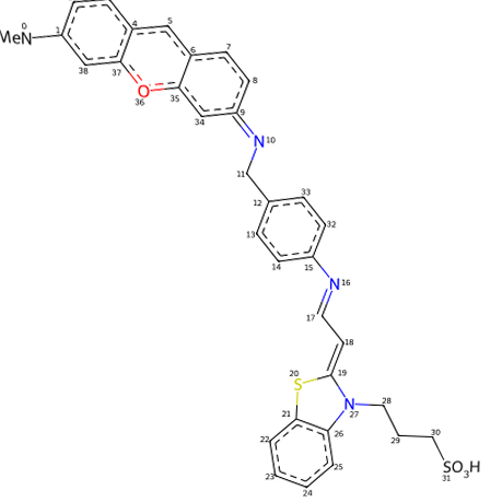 CNc1ccc2cc3cc/c(=N/Cc4ccc(/N=C/C=C5\Sc6ccccc6N5CCCS(=O)(=O)O)cc4)cc-3oc2c1